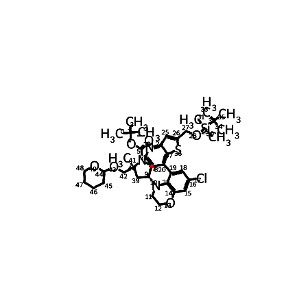 CC(C)(C)OC(=O)N1C[C@@H](N2CCOc3cc(Cl)cc(-c4ccnc5cc(CO[Si](C)(C)C(C)(C)C)sc45)c32)C[C@]1(C)COC1CCCCO1